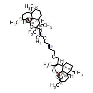 C/C(=N\[C@@]1(C(F)(F)F)O[C@@H]2O[C@]3(C)CC[C@H]4[C@H](C)CC[C@@H]([C@H]1C)[C@@]24OO3)OC/C=C/COCC1=C(C(F)(F)F)O[C@@H]2O[C@]3(C)CC[C@H]4[C@H](C)CC[C@@H]1[C@@]24OO3